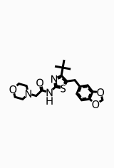 CC(C)(C)c1nc(NC(=O)CN2CCOCC2)sc1Cc1ccc2c(c1)OCO2